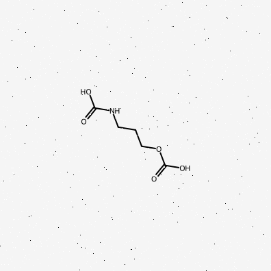 O=C(O)NCCCOC(=O)O